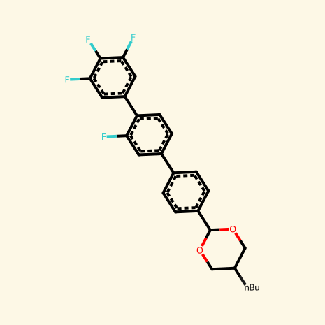 CCCCC1COC(c2ccc(-c3ccc(-c4cc(F)c(F)c(F)c4)c(F)c3)cc2)OC1